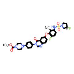 CC(C)(C)OC(=O)N1CCN(c2ccc(-n3cnc4ccc(Oc5c(F)ccc(NS(=O)(=O)N6CC[C@@H](F)C6)c5C#N)cc4c3=O)cc2)CC1